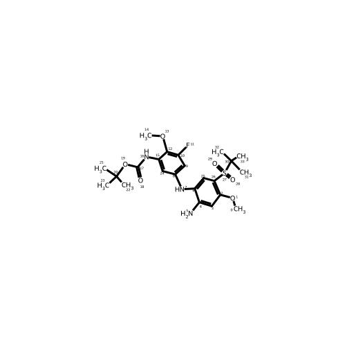 COc1cc(N)c(Nc2cc(F)c(OC)c(NC(=O)OC(C)(C)C)c2)cc1S(=O)(=O)C(C)(C)C